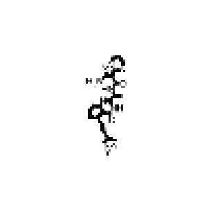 CC(NC(=O)c1c(N)nn2cccnc12)c1nc2cccc(C#Cc3cnn(C)c3)c2c(=O)[nH]1